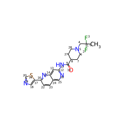 CC(F)(F)CN1CCC(C(=O)Nc2cc3nc(-c4cncs4)ccc3cn2)CC1